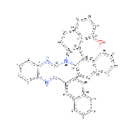 c1ccc2cc(-c3nc4ccccc4nc3-n3c4ccc5cccc6oc7cccc8ccc3c(c87)c4c56)ccc2c1